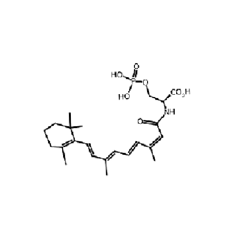 CC(C=CC1=C(C)CCCC1(C)C)=CC=C/C(C)=C\C(=O)N[C@@H](COP(=O)(O)O)C(=O)O